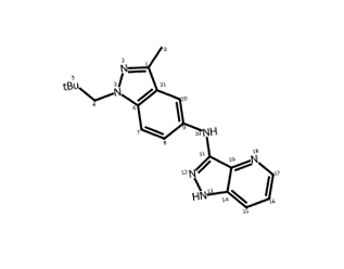 Cc1nn(CC(C)(C)C)c2ccc(Nc3n[nH]c4cccnc34)cc12